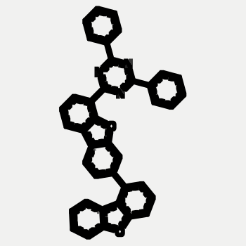 c1ccc(-c2nc(-c3ccccc3)nc(-c3cccc4c3oc3cc(-c5cccc6oc7ccccc7c56)ccc34)n2)cc1